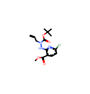 C=CCN(Nc1nc(Cl)ccc1C(=O)OC)C(=O)OC(C)(C)C